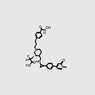 Cn1ccc(-c2ccc(C3CC3NCC3CCN(CCCc4ccc(C(=O)NO)cc4)CC3)cc2)cc1=O.O=C(O)C(F)(F)F